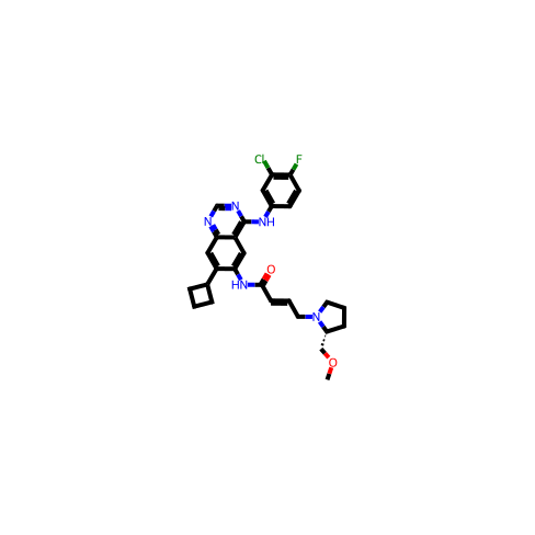 COC[C@H]1CCCN1CC=CC(=O)Nc1cc2c(Nc3ccc(F)c(Cl)c3)ncnc2cc1C1CCC1